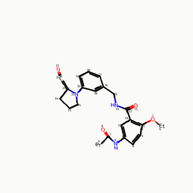 CCOc1ccc(NC(=O)C(C)C)cc1C(=O)NCc1cccc(N2CCCC2=C=O)c1